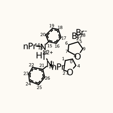 C1CCOC1.C1CCOC1.CCC[N]([Hf+2][N](CCC)c1ccccc1)c1ccccc1.[Br-].[Br-]